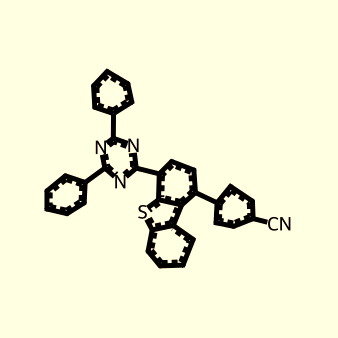 N#Cc1ccc(-c2ccc(-c3nc(-c4ccccc4)nc(-c4ccccc4)n3)c3sc4ccccc4c23)cc1